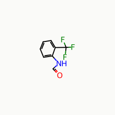 O=CNc1ccccc1C(F)(F)F